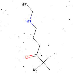 CCC(C)(C)C(=O)CCCNCC(C)C